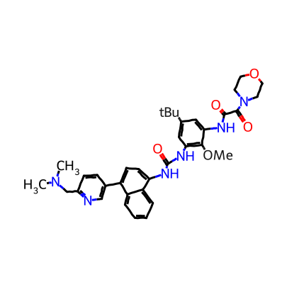 COc1c(NC(=O)Nc2ccc(-c3ccc(CN(C)C)nc3)c3ccccc23)cc(C(C)(C)C)cc1NC(=O)C(=O)N1CCOCC1